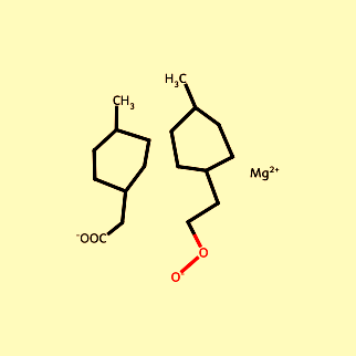 CC1CCC(CC(=O)[O-])CC1.CC1CCC(CCO[O-])CC1.[Mg+2]